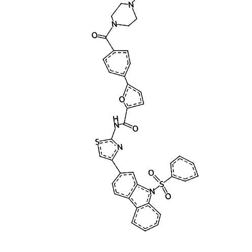 CN1CCN(C(=O)c2ccc(-c3ccc(C(=O)Nc4nc(-c5ccc6c7ccccc7n(S(=O)(=O)c7ccccc7)c6c5)cs4)o3)cc2)CC1